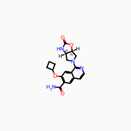 NC(=O)c1cc2ccnc(N3C[C@@H]4NC(=O)O[C@@H]4C3)c2cc1OC1CCC1